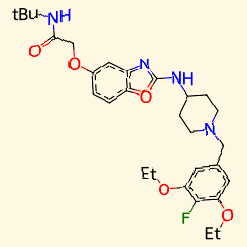 CCOc1cc(CN2CCC(Nc3nc4cc(OCC(=O)NC(C)(C)C)ccc4o3)CC2)cc(OCC)c1F